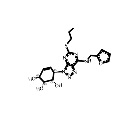 CCCSc1nc(NCc2ccco2)c2nnn([C@@H]3C=C[C@H](O)[C@@H](O)[C@H]3O)c2n1